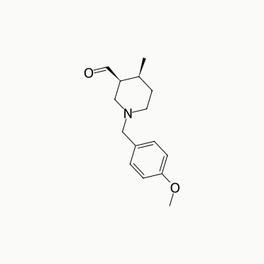 COc1ccc(CN2CC[C@H](C)[C@H](C=O)C2)cc1